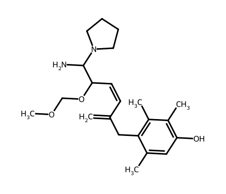 C=C(/C=C\C(OCOC)C(N)N1CCCC1)Cc1c(C)cc(O)c(C)c1C